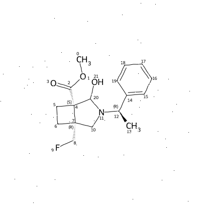 COC(=O)[C@@]12CC[C@]1(CF)CN([C@H](C)c1ccccc1)C2O